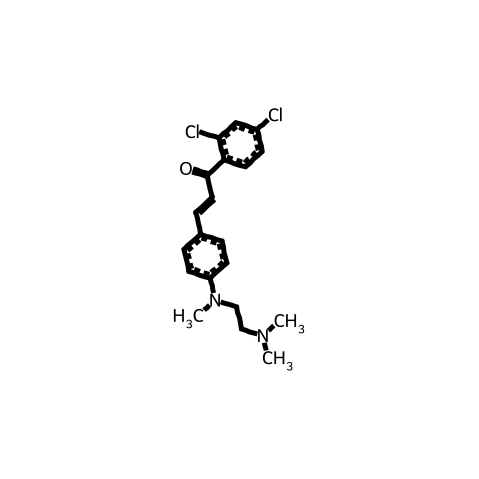 CN(C)CCN(C)c1ccc(C=CC(=O)c2ccc(Cl)cc2Cl)cc1